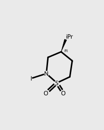 CC(C)[C@H]1CCS(=O)(=O)N(I)C1